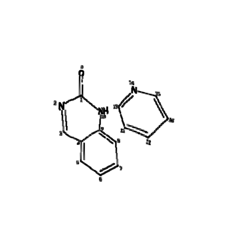 O=c1ncc2ccccc2[nH]1.c1ccncc1